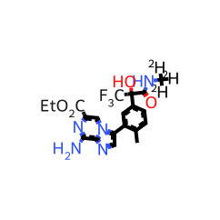 [2H]C([2H])([2H])NC(=O)C(O)(c1ccc(C)c(-c2cnc3c(N)nc(C(=O)OCC)cn23)c1)C(F)(F)F